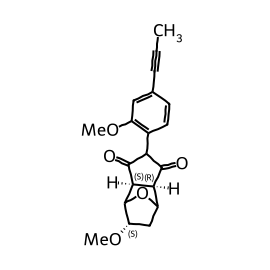 CC#Cc1ccc(C2C(=O)[C@@H]3C4OC(C[C@@H]4OC)[C@@H]3C2=O)c(OC)c1